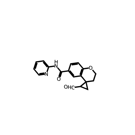 O=CC1CC12CCOc1ccc(C(=O)Nc3ccccn3)cc12